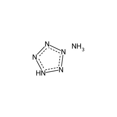 N.n1nn[nH]n1